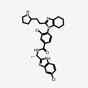 C[C@H](NC(=O)c1ccc(-n2c(CCC3CCCN3)nc3c2CCCC3)c(Cl)c1)c1nc2cc(Cl)ccc2[nH]1